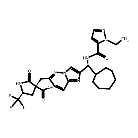 CCn1nccc1C(=O)N[C@H](c1cn2nc(C[C@@]3(C(=O)O)C[C@@H](C(F)(F)F)NC3=O)ccc2n1)C1CCCCCC1